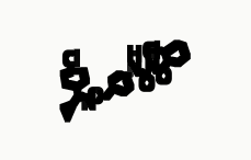 O=C(NC(=O)c1ccccc1Cl)Nc1ccc(CON=C(c2ccc(Cl)cc2)C2CC2)cc1